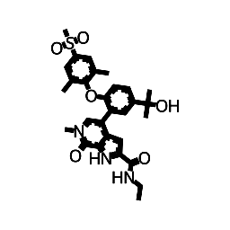 CCNC(=O)c1cc2c(-c3cc(C(C)(C)O)ccc3Oc3c(C)cc(S(C)(=O)=O)cc3C)cn(C)c(=O)c2[nH]1